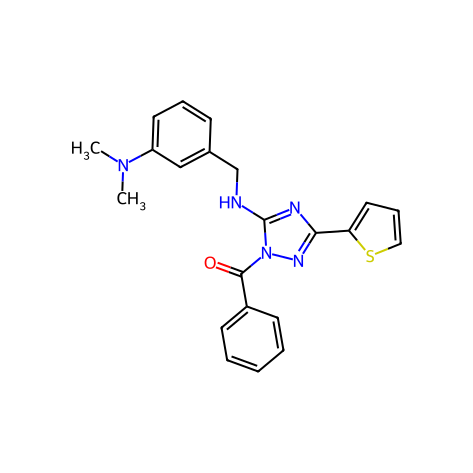 CN(C)c1cccc(CNc2nc(-c3cccs3)nn2C(=O)c2ccccc2)c1